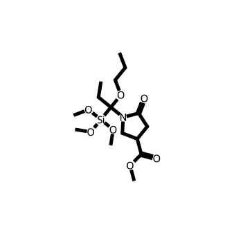 CCCOC(CC)(N1CC(C(=O)OC)CC1=O)[Si](OC)(OC)OC